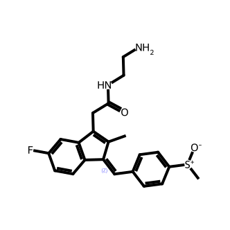 CC1=C(CC(=O)NCCN)c2cc(F)ccc2/C1=C/c1ccc([S+](C)[O-])cc1